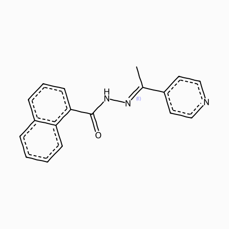 C/C(=N\NC(=O)c1cccc2ccccc12)c1ccncc1